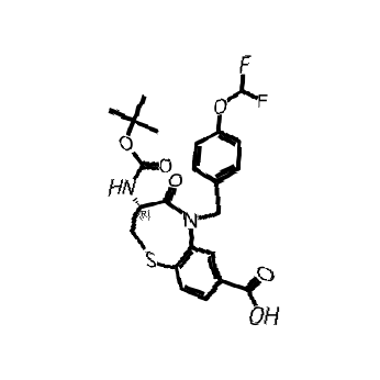 CC(C)(C)OC(=O)N[C@H]1CSc2ccc(C(=O)O)cc2N(Cc2ccc(OC(F)F)cc2)C1=O